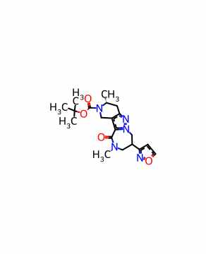 C[C@@H]1Cc2nn3c(c2CN1C(=O)OC(C)(C)C)C(=O)N(C)CC(c1ccon1)C3